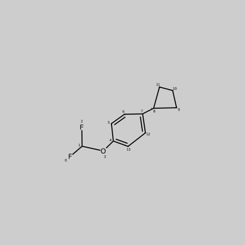 FC(F)Oc1ccc([C]2CCC2)cc1